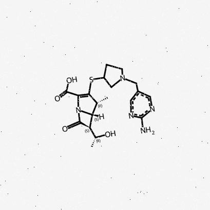 C[C@@H](O)[C@H]1C(=O)N2C(C(=O)O)=C(SC3CCN(Cc4cnc(N)nc4)C3)[C@H](C)[C@H]12